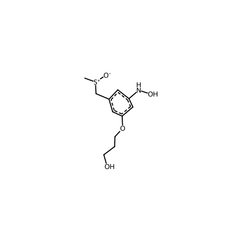 C[S+]([O-])Cc1cc(NO)cc(OCCCO)c1